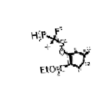 CCOC(=O)C1=C(OSC(F)(F)P)CC(C)CC1